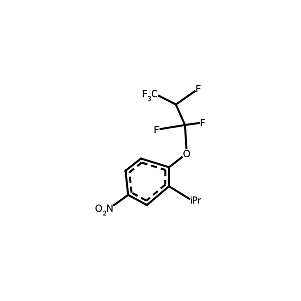 CC(C)c1cc([N+](=O)[O-])ccc1OC(F)(F)C(F)C(F)(F)F